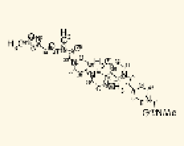 CNC(=O)CN1CCC(CCN2CCN(C)C(C3CN(C4CCN(CC(=O)N(C)COCc5cc(C)on5)CC4)CCN3C)C2)CC1